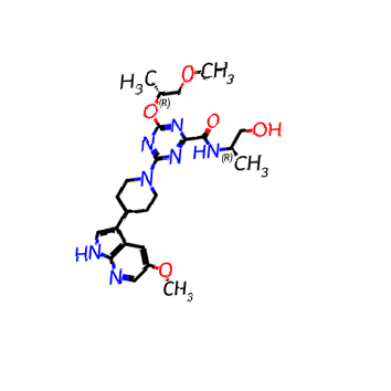 COC[C@@H](C)Oc1nc(C(=O)N[C@H](C)CO)nc(N2CCC(c3c[nH]c4ncc(OC)cc34)CC2)n1